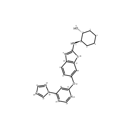 O[C@@H]1CCCC[C@H]1Nc1nc2ccc(Oc3cc(-n4cncn4)ncn3)cc2s1